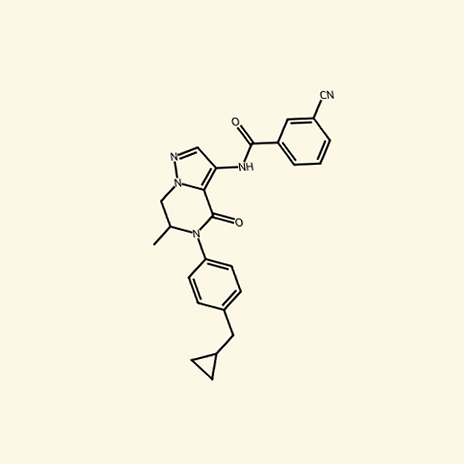 CC1Cn2ncc(NC(=O)c3cccc(C#N)c3)c2C(=O)N1c1ccc(CC2CC2)cc1